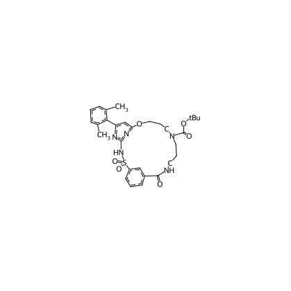 Cc1cccc(C)c1-c1cc2nc(n1)NS(=O)(=O)c1cccc(c1)C(=O)NCCCN(C(=O)OC(C)(C)C)CCCO2